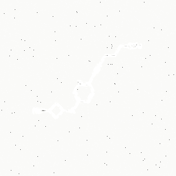 COCCCC#Cc1ccc(O[C@H]2C[C@H](O)C2)cn1